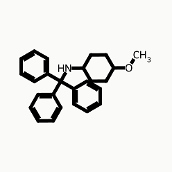 COC1CCC(NC(c2ccccc2)(c2ccccc2)c2ccccc2)CC1